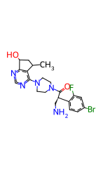 CC1CC(O)c2ncnc(N3CCN(C(=O)[C@H](CN)c4ccc(Br)cc4F)CC3)c21